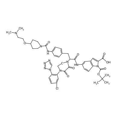 CN(C)CCOC1CCN(C(=O)Nc2ccc(CC(C(=O)Nc3ccc4c(c3)cc(C(=O)O)n4C(=O)OC(C)(C)C)N3CCN(c4cc(Cl)ccc4-n4cnnn4)C(=O)C3=O)cc2)CC1